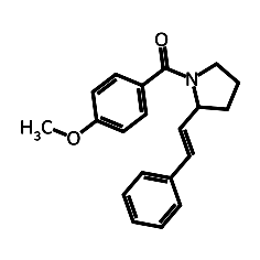 COc1ccc(C(=O)N2CCCC2/C=C/c2ccccc2)cc1